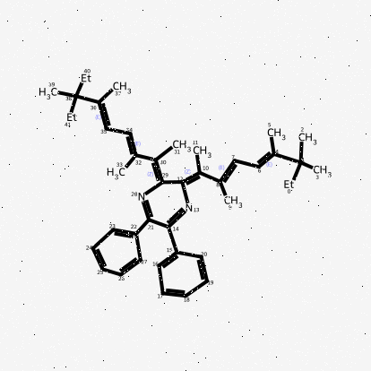 CCC(C)(C)/C(C)=C/C=C(C)/C(C)=c1\nc(-c2ccccc2)c(-c2ccccc2)n\c1=C(C)/C(C)=C/C=C(\C)C(C)(CC)CC